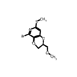 COCC1COc2c(cc(SC)nc2Br)O1